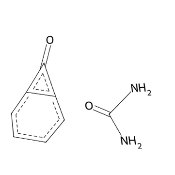 NC(N)=O.O=c1c2ccccc12